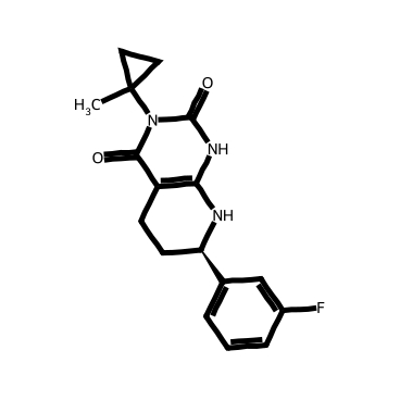 CC1(n2c(=O)[nH]c3c(c2=O)CC[C@H](c2cccc(F)c2)N3)CC1